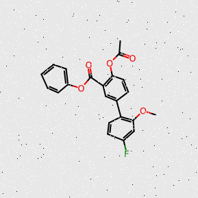 COc1cc(F)ccc1-c1ccc(OC(C)=O)c(C(=O)Oc2ccccc2)c1